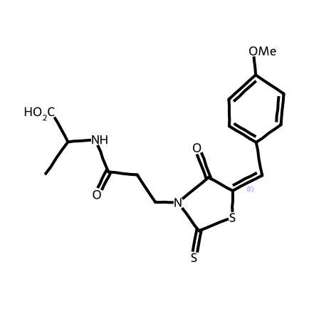 COc1ccc(/C=C2/SC(=S)N(CCC(=O)NC(C)C(=O)O)C2=O)cc1